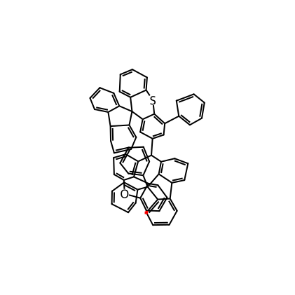 c1ccc(-c2cc(C(c3cccc4c3C(c3ccccc3)(c3ccccc3)c3ccccc3-4)c3cccc4oc5ccccc5c34)cc3c2Sc2ccccc2C32c3ccccc3-c3ccccc32)cc1